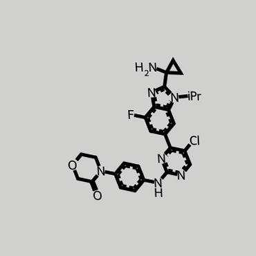 CC(C)n1c(C2(N)CC2)nc2c(F)cc(-c3nc(Nc4ccc(N5CCOCC5=O)cc4)ncc3Cl)cc21